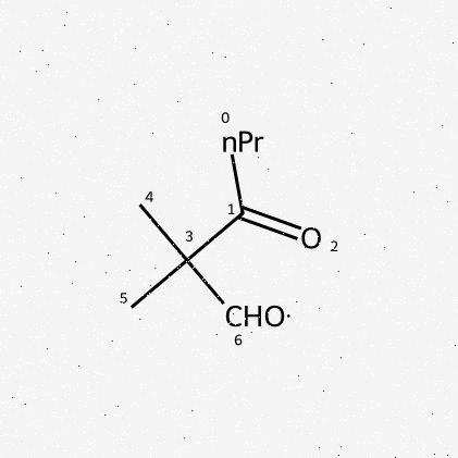 CCCC(=O)C(C)(C)[C]=O